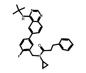 CC(C)(C)Nc1ncnc2ccc(-c3ccc(F)c(CN(C(=O)CCc4ccccc4)C4CC4)c3)cc12